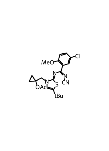 COc1ccc(Cl)cc1C(=NC#N)N=c1sc(C(C)(C)C)cn1CC1(OC(C)=O)CC1